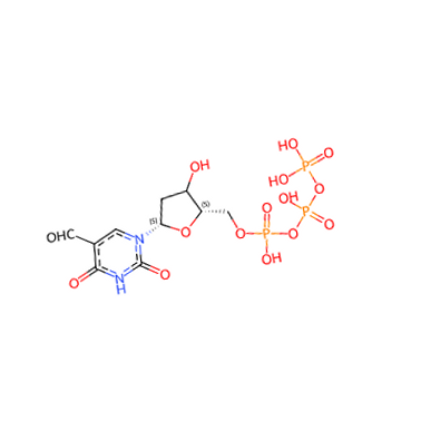 O=Cc1cn([C@@H]2CC(O)[C@H](COP(=O)(O)OP(=O)(O)OP(=O)(O)O)O2)c(=O)[nH]c1=O